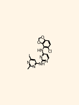 Cc1nc(I)cc(Nc2nccc(Nc3c(Cl)ccc4c3OCO4)n2)n1